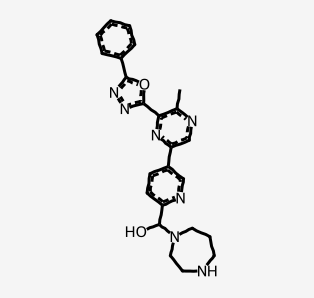 Cc1ncc(-c2ccc(C(O)N3CCCNCC3)nc2)nc1-c1nnc(-c2ccccc2)o1